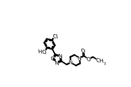 CCOC(=O)N1CCN(Cc2noc(-c3cc(Cl)ccc3O)n2)CC1